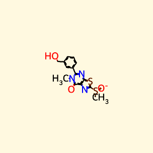 Cn1c(-c2cccc(CO)c2)nc2sc([S+](C)[O-])nc2c1=O